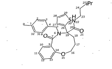 Cc1ccc(CN2C(=O)c3ccccc3OCCCC2(C(=O)NCCC(C)C)c2cccs2)cc1